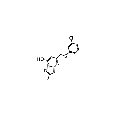 Cc1cc2nc(CSc3cccc(Cl)c3)cc(O)n2n1